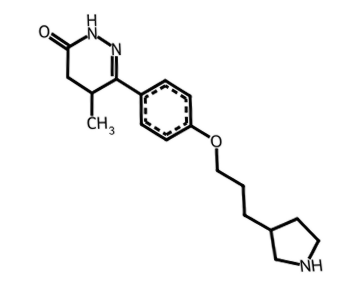 CC1CC(=O)NN=C1c1ccc(OCCCC2CCNC2)cc1